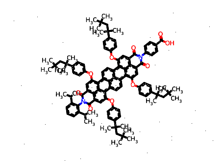 CC(C)c1cccc(C(C)C)c1N1C(=O)c2cc(Oc3ccc(C(C)(C)CC(C)(C)C)cc3)c3c4ccc5c6c(Oc7ccc(C(C)(C)CC(C)(C)C)cc7)cc7c8c(cc(Oc9ccc(C(C)(C)CC(C)(C)C)cc9)c(c9ccc(c%10c(Oc%11ccc(C(C)(C)CC(C)(C)C)cc%11)cc(c2c3%10)C1=O)c4c59)c86)C(=O)N(c1ccc(C(=O)O)cc1)C7=O